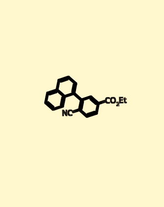 CCOC(=O)c1ccc(C#N)c(-c2cccc3ccccc23)c1